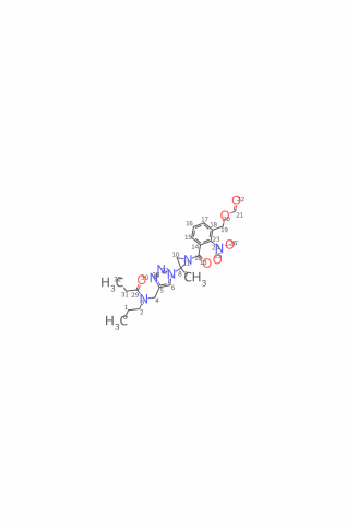 CCCN(Cc1cn(C2(C)CN2C(=O)c2cccc(COC=O)c2[N+](=O)[O-])nn1)C(=O)CC